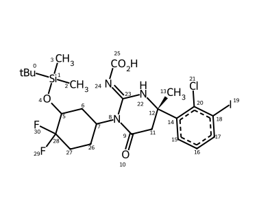 CC(C)(C)[Si](C)(C)OC1CC(N2C(=O)C[C@@](C)(c3cccc(I)c3Cl)N/C2=N\C(=O)O)CCC1(F)F